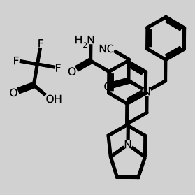 N#CCC(=O)N(CCN1C2CCC1CC(c1cccc(C(N)=O)c1)C2)Cc1ccccc1.O=C(O)C(F)(F)F